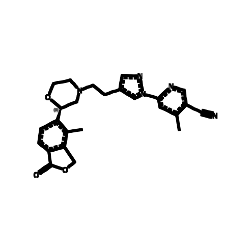 Cc1cc(-n2cc(CCN3CCO[C@H](c4ccc5c(c4C)COC5=O)C3)cn2)ncc1C#N